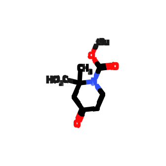 CC(C)(C)OC(=O)N1CCC(=O)CC1(C)C(=O)O